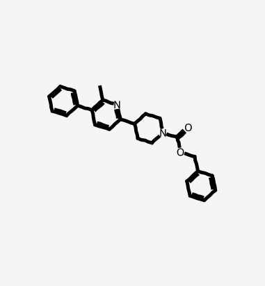 Cc1nc(C2CCN(C(=O)OCc3ccccc3)CC2)ccc1-c1ccccc1